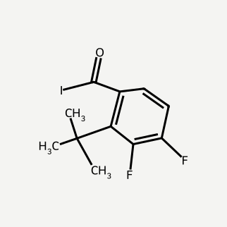 CC(C)(C)c1c(C(=O)I)ccc(F)c1F